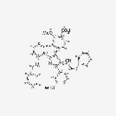 COc1ccc(OCc2ccccc2)c(-c2nc(-c3ccccc3OCc3ccccc3)n(-c3ccc(C(=O)O)c(OC)c3)c2C)c1